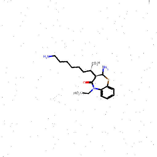 NCCCCCC[C@H](C(=O)O)[C@@H]1C(=O)N(CC(=O)O)c2ccccc2SC1N